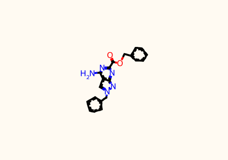 Nc1nc(C(=O)OCc2ccccc2)nc2nn(Cc3ccccc3)cc12